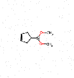 CO[Si](OC)C1CC=CC1